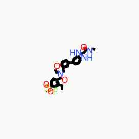 CCNC(=O)c1nc2ccc(-c3ccc4c(c3)CN(C(=O)c3ccc(S(C)(=O)=O)c(F)c3CC)CCO4)cc2[nH]1